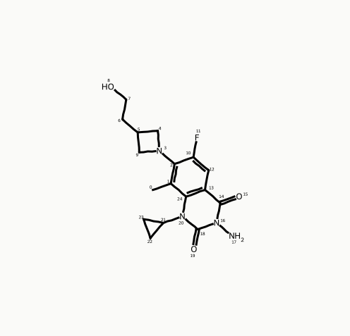 Cc1c(N2CC(CCO)C2)c(F)cc2c(=O)n(N)c(=O)n(C3CC3)c12